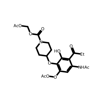 CCC(=O)c1c(NC(C)=O)cc(OOC(C)=O)c(OC2CCN(C(=O)OCOC(C)=O)CC2)c1O